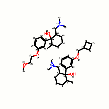 CC1CCCC(CN(C)C)C1(O)c1cccc(OCC2CCC2)c1.COCCOc1cccc(C2(O)C(C)CCCC2CN(C)C)c1